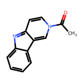 CC(=O)n1ccc2nc3ccccc3c-2c1